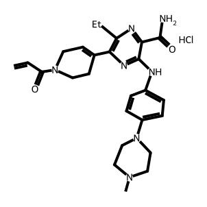 C=CC(=O)N1CC=C(c2nc(Nc3ccc(N4CCN(C)CC4)cc3)c(C(N)=O)nc2CC)CC1.Cl